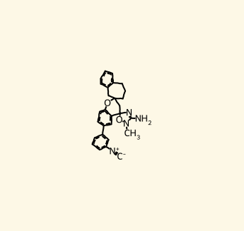 [C-]#[N+]c1cccc(-c2ccc3c(c2)C2(CC4(CCCc5ccccc5C4)O3)N=C(N)N(C)O2)c1